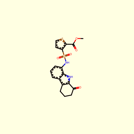 COC(=O)c1sccc1S(=O)(=O)Nc1cccc2c3c([nH]c12)C(=O)CCC3